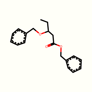 CCC(CC(=O)OCc1ccccc1)OCc1ccccc1